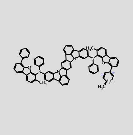 C=C/C=C\C(=C/C)c1cccc2c1oc1c(N(c3ccccc3)c3ccc4c5cccc6c7cc8c(cc7n(c4c3)c56)c3cccc4c5ccc(N(c6ccccc6)c6c(C)ccc7c6oc6c(-c9ccccc9)cccc67)cc5n8c43)c(C)ccc12